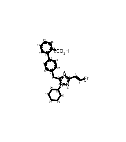 CCC=Cc1nc(Cc2ccc(-c3ccccc3C(=O)O)cc2)n(C2CCCCC2)n1